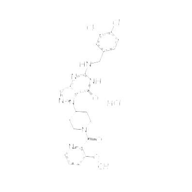 COc1cccnc1C(=O)N1CCC(n2ncc3nc(NCc4ccc(Cl)c(Cl)c4)[nH]c(=O)c32)CC1.Cl